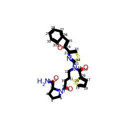 NC(=O)C1CCCN1C(=O)CCCN(C(=O)c1cccs1)c1nc(-c2cc3ccccc3o2)cs1